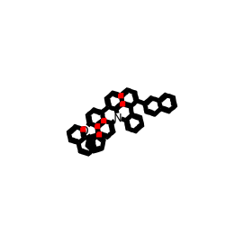 c1ccc(-c2ccccc2N(c2ccc(-c3cccc4ccccc34)cc2)c2ccccc2-c2ccc3oc4ccccc4c3c2)c(-c2ccc3ccccc3c2)c1